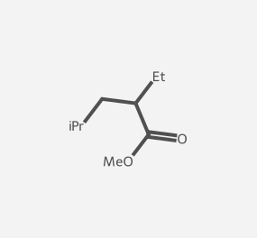 CCC(CC(C)C)C(=O)OC